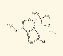 COC[C@@](C)(N)c1cnc(OC)c2cnc(Cl)cc12